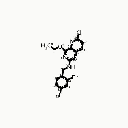 CCOc1nc(NCc2ccc(F)cc2F)nc2ccc(Cl)nc12